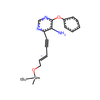 CC(C)(C)[Si](C)(C)OC/C=C/C#Cc1ncnc(Oc2ccccc2)c1N